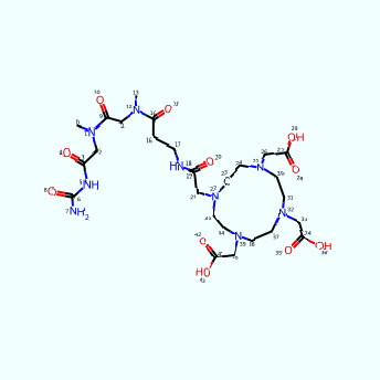 CN(CC(=O)NC(N)=O)C(=O)CN(C)C(=O)CCNC(=O)CN1CCN(CC(=O)O)CCN(CC(=O)O)CCN(CC(=O)O)CC1